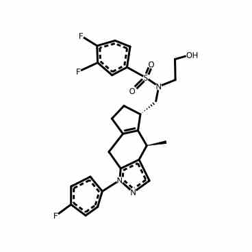 C[C@@H]1C2=C(CC[C@@H]2CN(CCO)S(=O)(=O)c2ccc(F)c(F)c2)Cc2c1cnn2-c1ccc(F)cc1